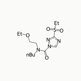 CCCCN(CCOCC)C(=O)n1cnc(S(=O)(=O)CC)n1